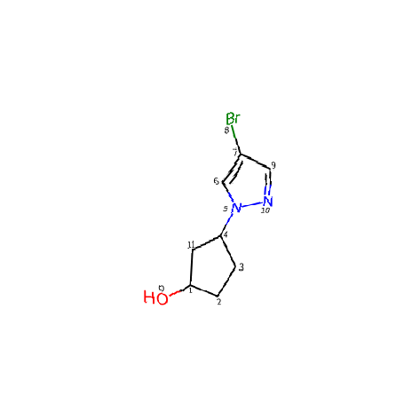 OC1CCC(n2cc(Br)cn2)C1